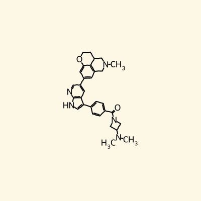 CN1Cc2cc(-c3cnc4[nH]cc(-c5ccc(C(=O)N6CC(N(C)C)C6)cc5)c4c3)cc3c2C(CCO3)C1